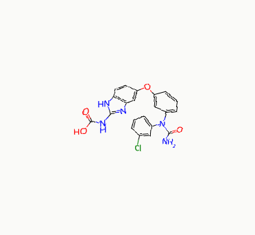 NC(=O)N(c1cccc(Cl)c1)c1cccc(Oc2ccc3[nH]c(NC(=O)O)nc3c2)c1